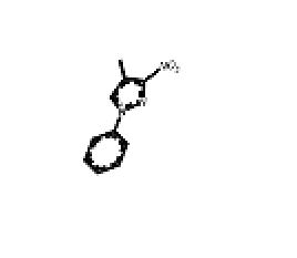 Cc1cn(-c2ccccc2)nc1[N+](=O)[O-]